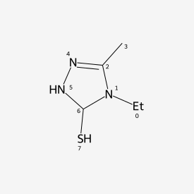 CCN1C(C)=NNC1S